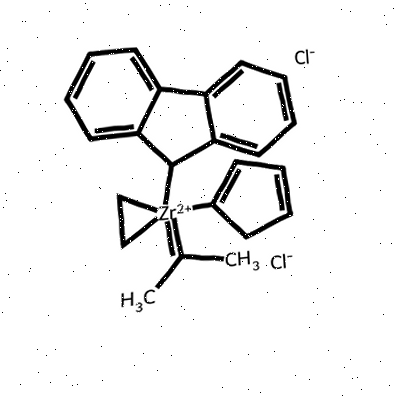 C[C](C)=[Zr+2]1([C]2=CC=CC2)([CH]2c3ccccc3-c3ccccc32)[CH2][CH2]1.[Cl-].[Cl-]